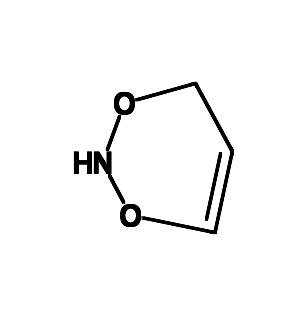 C1=CONOC1